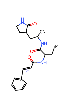 CC(C)CC(NC(=O)/C=C/c1ccccc1)C(=O)NC(C#N)CC1CCNC1=O